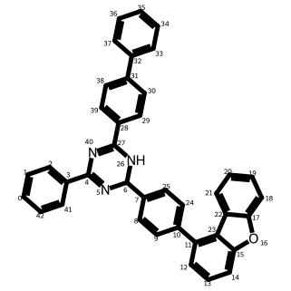 c1ccc(C2=NC(c3ccc(-c4cccc5oc6ccccc6c45)cc3)NC(c3ccc(-c4ccccc4)cc3)=N2)cc1